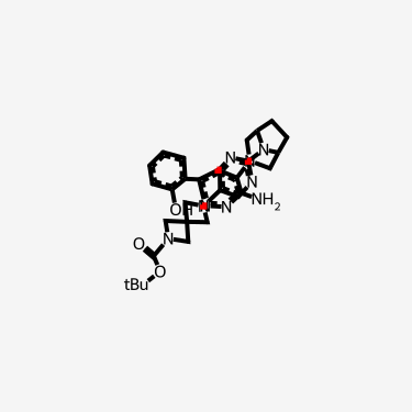 CC(C)(C)OC(=O)N1CC2(C1)CN(c1cnc(N3C4CCC3CN(c3cc(-c5ccccc5O)nnc3N)C4)nc1)C2